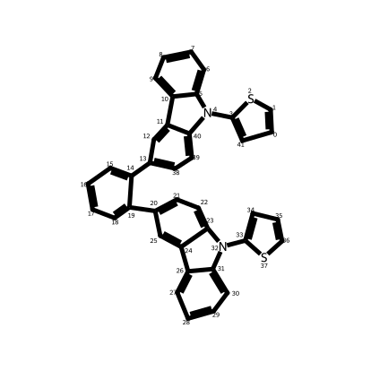 c1csc(-n2c3ccccc3c3cc(-c4ccccc4-c4ccc5c(c4)c4ccccc4n5-c4cccs4)ccc32)c1